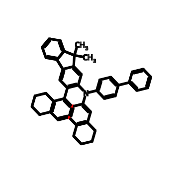 CC1(C)c2ccccc2-c2cc(-c3cccc4c3CCCC4)c(N(c3ccc(-c4ccccc4)cc3)c3ccc4c(c3)CCCC4)cc21